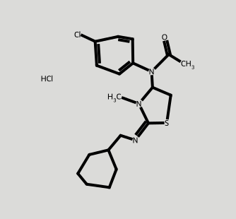 CC(=O)N(c1ccc(Cl)cc1)C1CSC(=NCC2CCCCC2)N1C.Cl